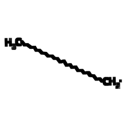 [CH2]CCCC/C=C/CCCCCCCCCCCCCCCCCCCCCCC